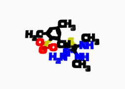 CNc1sc[n+](N)c1NC.Cc1cc(C)c(S(=O)(=O)[O-])c(C)c1